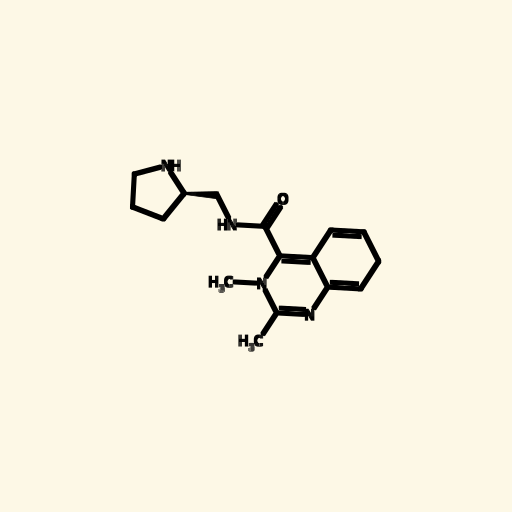 CC1=NC2=CCC=CC2=C(C(=O)NC[C@H]2CCCN2)N1C